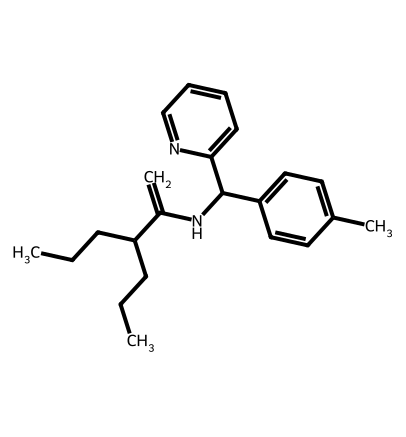 C=C(NC(c1ccc(C)cc1)c1ccccn1)C(CCC)CCC